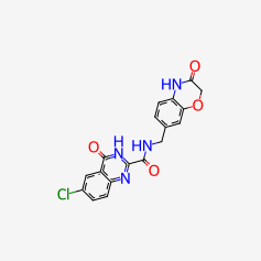 O=C1COc2cc(CNC(=O)c3nc4ccc(Cl)cc4c(=O)[nH]3)ccc2N1